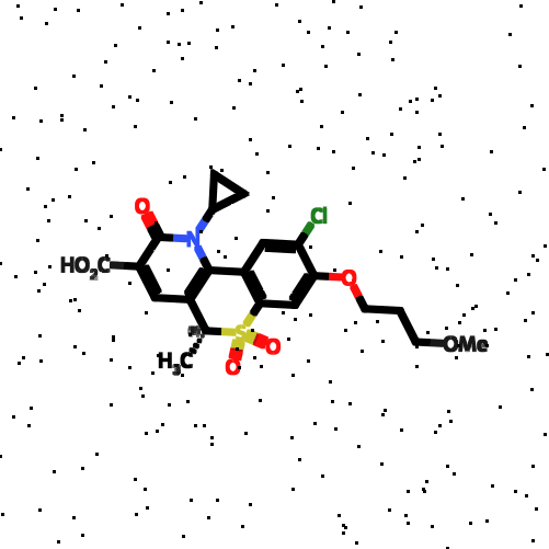 COCCCOc1cc2c(cc1Cl)-c1c(cc(C(=O)O)c(=O)n1C1CC1)[C@@H](C)S2(=O)=O